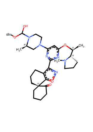 C[C@H](Oc1cc(N2CCN(C(O)OC(C)(C)C)[C@H](C)C2)nc(-c2noc3c2CCC[C@@]32CCCCC2=O)n1)[C@@H]1CCCN1C